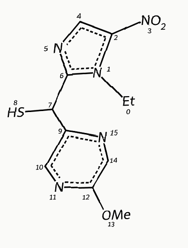 CCn1c([N+](=O)[O-])cnc1C(S)c1cnc(OC)cn1